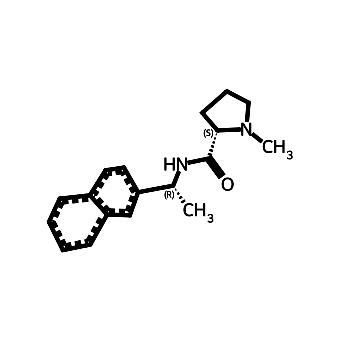 C[C@@H](NC(=O)[C@@H]1CCCN1C)c1ccc2ccccc2c1